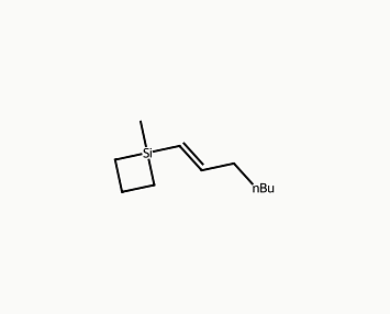 CCCCCC=C[Si]1(C)CCC1